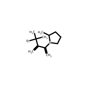 C=C(C(=C)C(C)(C)CC)N1CCCC1C